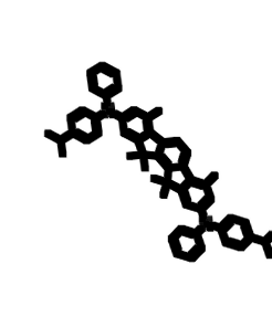 Cc1cc(N(c2ccccc2)c2ccc(C(C)C)cc2)cc2c1-c1ccc3c(c1C2(C)C)C(C)(C)c1cc(N(c2ccccc2)c2ccc(C(C)C)cc2)cc(C)c1-3